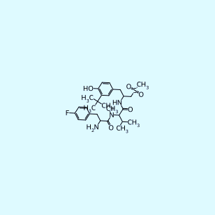 CC(C)C(C(=O)NC(Cc1ccc(O)c(C(C)(C)C)c1)CS(C)(=O)=O)N(C)C(=O)C(N)Cc1ccc(F)cc1